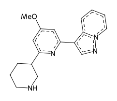 COc1cc(-c2cnn3ccccc23)nc(C2CCCNC2)c1